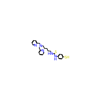 S=C(NCCCCCN(Cc1ccccn1)Cc1ccccn1)Nc1ccc(S)cc1